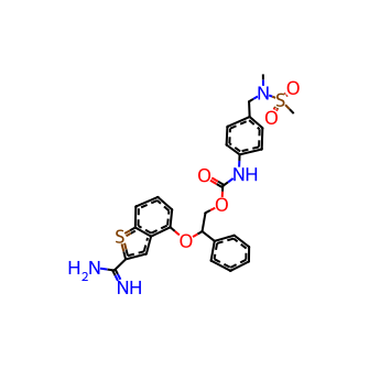 CN(Cc1ccc(NC(=O)OCC(Oc2cccc3sc(C(=N)N)cc23)c2ccccc2)cc1)S(C)(=O)=O